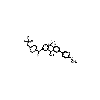 CNc1ccc(-c2ccc(OC)nc2)cc1C(=N)c1cccc(C(=O)N2CCN(CC(F)(F)F)CC2)c1